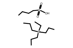 CCCCS(=O)(=O)O.CCC[N+](CC)(CCC)CCC